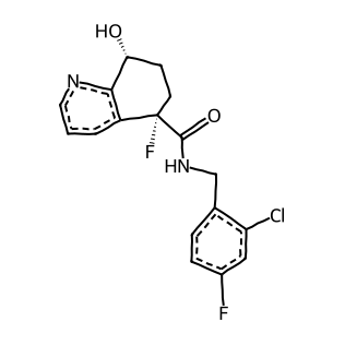 O=C(NCc1ccc(F)cc1Cl)[C@]1(F)CC[C@@H](O)c2ncccc21